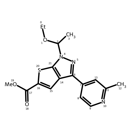 CCOC(C)n1nc(-c2ccnc(C)c2)c2cc(C(=O)OC)sc21